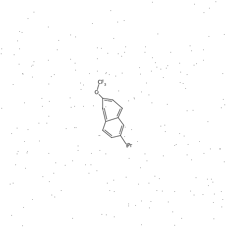 CC(C)c1ccc2cc(OC(F)(F)F)ccc2c1